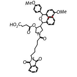 COc1ccc(C(OC(c2ccccc2)C2CN(C(=O)CCCCCN3C(=O)c4ccccc4C3=O)CC2OC(=O)CCC(=O)O)c2ccc(OC)cc2)cc1